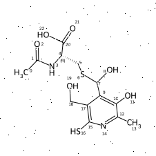 CC(=O)N[C@@H](CSC(O)c1c(O)c(C)nc(S)c1CO)C(=O)O